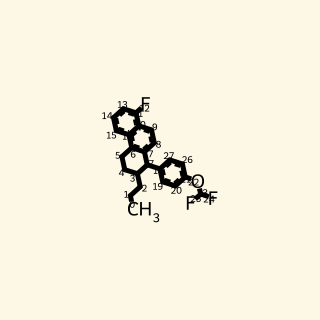 CCCC1CCc2c(ccc3c(F)cccc23)C1c1ccc(OC(F)F)cc1